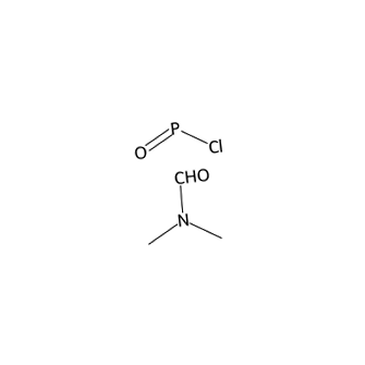 CN(C)C=O.O=PCl